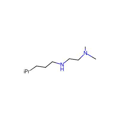 CC(C)CCCNCCN(C)C